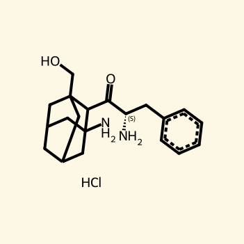 Cl.N[C@@H](Cc1ccccc1)C(=O)C1C2(N)CC3CC(C2)CC1(CO)C3